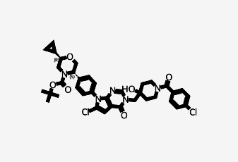 CC(C)(C)OC(=O)N1C[C@@H](C2CC2)OC[C@@H]1c1ccc(-n2c(Cl)cc3c(=O)n(CC4(O)CCN(C(=O)c5ccc(Cl)cc5)CC4)cnc32)cc1